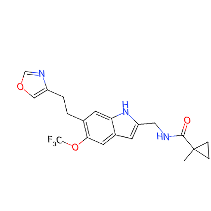 CC1(C(=O)NCc2cc3cc(OC(F)(F)F)c(CCc4cocn4)cc3[nH]2)CC1